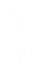 CC(C)(C)OC(=O)N[C@H](C(=O)N1CCCC1C#N)C1CCC(NC(=O)c2cc3cccn3cn2)CC1